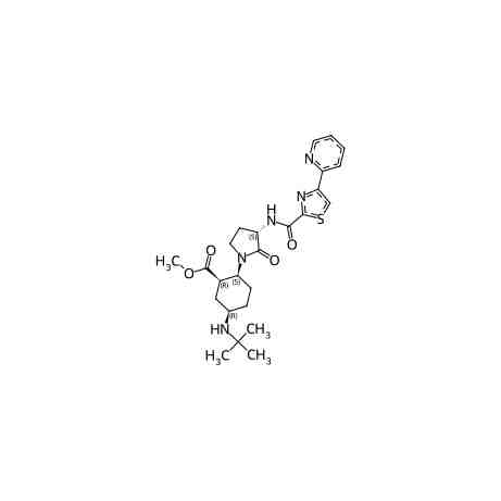 COC(=O)[C@@H]1C[C@H](NC(C)(C)C)CC[C@@H]1N1CC[C@H](NC(=O)c2nc(-c3ccccn3)cs2)C1=O